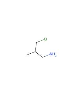 CC(CN)CCl